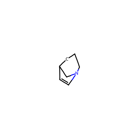 C1=CN2CCCC1C2